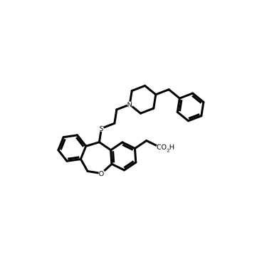 O=C(O)Cc1ccc2c(c1)C(SCCN1CCC(Cc3ccccc3)CC1)c1ccccc1CO2